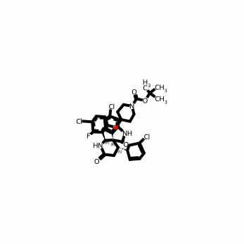 CC(C)(C)OC(=O)N1CCC(Oc2ccc(Cl)c(F)c2[C@@H]2NC(=O)C[C@@H](C3C=CC=C(Cl)C3)[C@]23C(=O)Nc2cc(Cl)ccc23)CC1